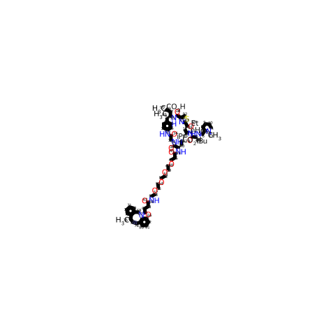 CCCCCCN(C(=O)[C@@H](NCC1CCCCN1C)[C@@H](C)CC)[C@H](C[C@@H](OCC)c1nc(C(=O)N[C@@H](Cc2ccc(NC(=O)CNC(=O)[C@H](CCC(=O)O)NC(=O)CCOCCOCCOCCOCCNC(=O)CCC(=O)N3Cc4ccccc4C(C)/C=C\c4ccccc43)cc2)CC(C)(C)C(=O)O)cs1)C(C)C